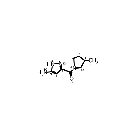 CC1CCN(C(=O)c2cc(N)[nH]n2)C1